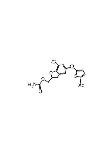 CC(=O)c1ccc(Oc2cc(Cl)c3c(c2)CC(COC(N)=O)O3)s1